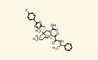 CCCC[C@@H](C(=O)C(=O)N[C@H](C)c1ccccc1)N(C(=O)O)[C@@H](Cc1nnc(-c2ccc(F)cc2)o1)C(C)(C)C